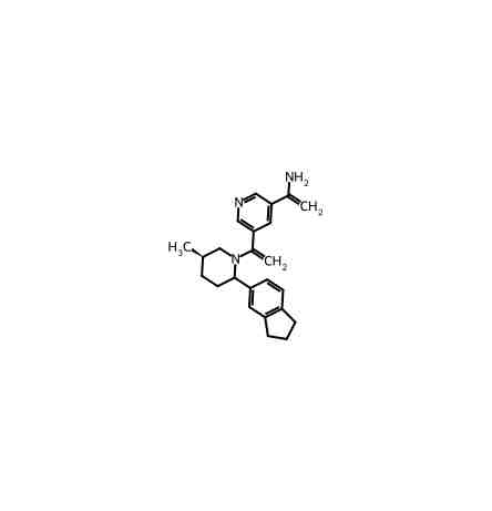 C=C(N)c1cncc(C(=C)N2C[C@H](C)CCC2c2ccc3c(c2)CCC3)c1